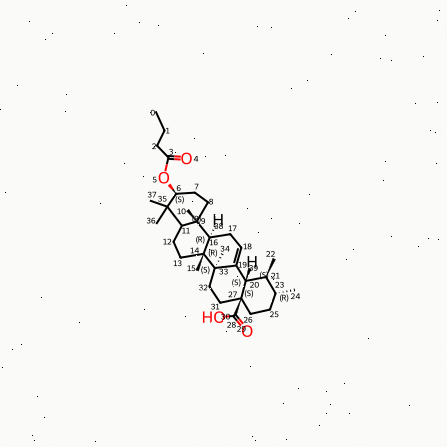 CCCC(=O)O[C@H]1CC[C@@]2(C)C(CC[C@]3(C)[C@@H]2CC=C2[C@@H]4[C@@H](C)[C@H](C)CC[C@]4(C(=O)O)CC[C@]23C)C1(C)C